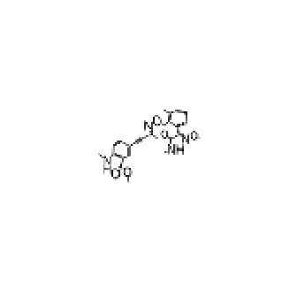 CNC(=O)/C(=N/OC)c1cccc(C)c1CO/N=C(\C)C#Cc1ccc(NC)c(C(=O)OC)c1